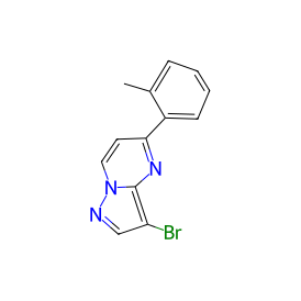 Cc1ccccc1-c1ccn2ncc(Br)c2n1